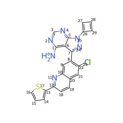 Nc1ncnc2c1c(-c1cc3nc(-c4cccs4)ccc3cc1Cl)nn2C1=CC=C1